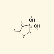 CC1CCC(O)(O)O1